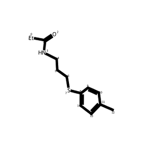 CCC(=O)NCCCSc1ccc(C)cc1